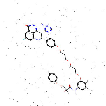 Cn1ncnc1[C@H]1c2n[nH]c(=O)c3cc(F)cc(c23)N[C@@H]1c1ccc(OCCCOCCCOc2cc(NC(=O)C(C)(O)COc3ccc(C#N)cc3)cc(C(F)(F)F)c2C#N)cc1